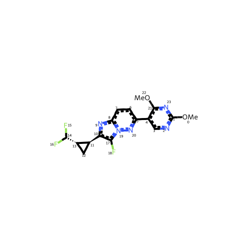 COc1ncc(-c2ccc3nc([C@H]4C[C@@H]4C(F)F)c(F)n3n2)c(OC)n1